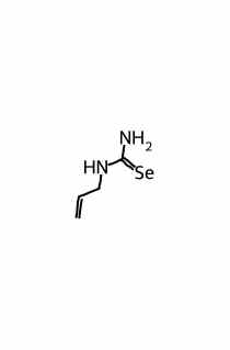 C=CCNC(N)=[Se]